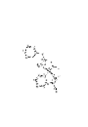 CN(C[C@H](N)Cc1ccccc1)S(=O)(=O)c1ccccc1[N+](=O)[O-]